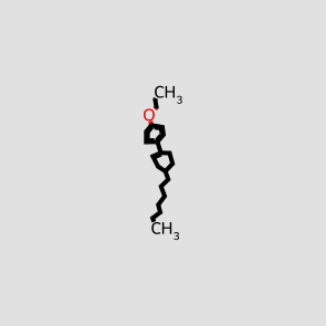 CCCCCCCC1CC=C(c2ccc(OCCC)cc2)CC1